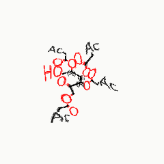 CC(=O)CC(=O)OCC(=O)[C@H](OC(=O)CC(C)=O)[C@@H](OC(=O)CC(C)=O)[C@@H](CO)OC(=O)CC(C)=O